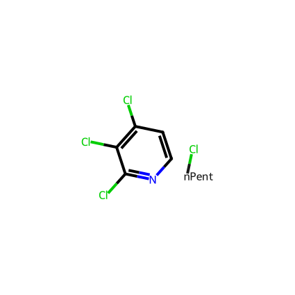 CCCCCCl.Clc1ccnc(Cl)c1Cl